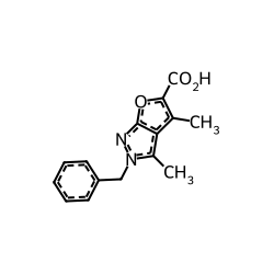 Cc1c(C(=O)O)oc2nn(Cc3ccccc3)c(C)c12